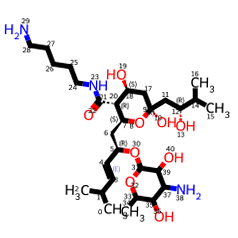 CC(C)/C=C/[C@@H](C[C@@H]1O[C@](O)(C[C@@H](O)C(C)C)C[C@H](O)[C@H]1C(=O)NCCCCCN)OC1OC(C)C(O)C(N)C1O